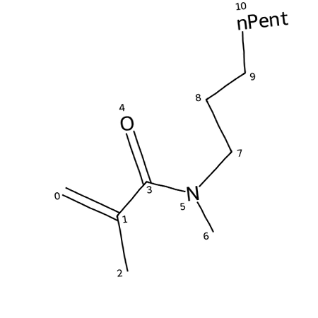 C=C(C)C(=O)N(C)CCCCCCCC